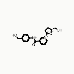 O=C(Nc1ccc(CO)cc1)c1ccc[n+]([C@H]2CC[C@@H](CO)O2)c1